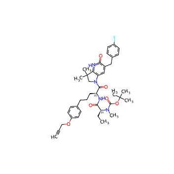 C#CCOc1ccc(CCC[C@H](NC(=O)[C@H](CC)N(C)C(=O)OC(C)(C)C)C(=O)N2CC(C)(C)c3[nH]c(=O)c(Cc4ccc(F)cc4)cc32)cc1